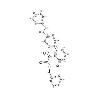 COC(=O)[C@H](Cc1ccccc1)Nc1ccnc(-c2ccc(OCc3ccccc3)cc2)n1